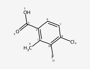 Cc1c(C(=O)O)ccc(Cl)c1F